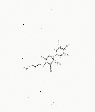 CCCCCc1c(F)cc(-c2cc(F)c(F)c(F)c2)c(F)c1F